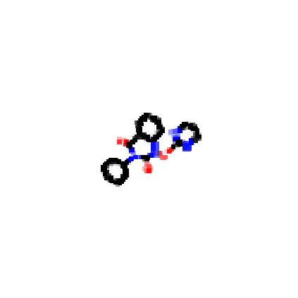 O=C(NOc1ncccn1)N(C(=O)c1ccccc1)c1ccccc1